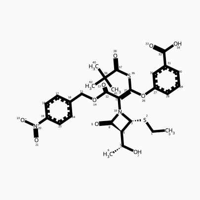 CCS[C@@H]1[C@@H]([C@@H](C)O)C(=O)N1C(C(=O)OCc1ccc([N+](=O)[O-])cc1)=C(Oc1cccc(C(=O)O)c1)SC(=O)C(C)(C)C